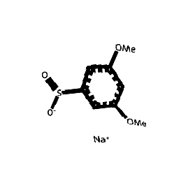 COc1cc(OC)cc(S(=O)[O-])c1.[Na+]